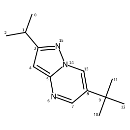 CC(C)c1cc2ncc(C(C)(C)C)cn2n1